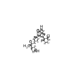 CN(C(=O)Cc1ccc(Nc2cc(-c3c(F)cccc3Cl)nc3c2C(=O)NC3)nc1)C1CCNCC1